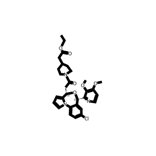 CCOC(=O)CC1CCN(C(=O)C[C@@H]2O[C@H](c3nccc(OC)c3OC)c3cc(Cl)ccc3-n3cccc32)CC1